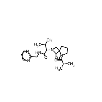 CC(C)C(=O)N1CCCC12CN([C@H](C(=O)NCc1ncccn1)[C@@H](C)O)C2C